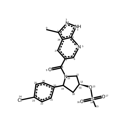 Cc1n[nH]c2ncc(C(=O)N3C[C@@H](OS(C)(=O)=O)CC3c3ccc(Cl)cc3)cc12